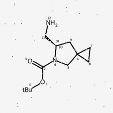 CC(C)(C)OC(=O)N1CC2(CC2)C[C@@H]1CN